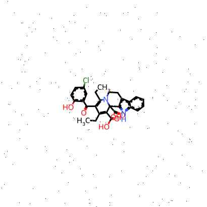 CCC1=C(C(=O)O)C2(C(=O)O)c3[nH]c4ccccc4c3CCN2C(CC)=C1C(=O)c1cc(Cl)ccc1O